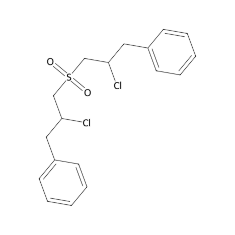 O=S(=O)(CC(Cl)Cc1ccccc1)CC(Cl)Cc1ccccc1